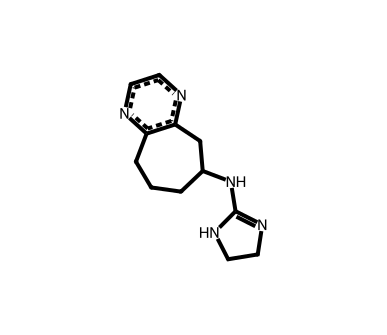 c1cnc2c(n1)CCCC(NC1=NCCN1)C2